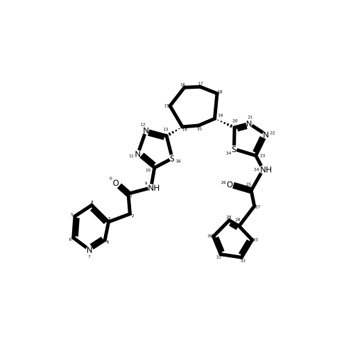 O=C(Cc1cccnc1)Nc1nnc([C@@H]2CCCC[C@H](c3nnc(NC(=O)Cc4ccccc4)s3)C2)s1